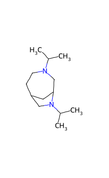 CC(C)N1CCC2CC(C1)N(C(C)C)C2